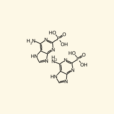 Nc1nc(P(=O)(O)O)nc2nc[nH]c12.Nc1nc(P(=O)(O)O)nc2nc[nH]c12